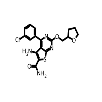 NC(=O)c1sc2nc(OCC3CCCO3)nc(-c3cccc(Cl)c3)c2c1N